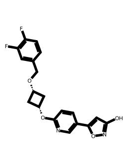 Oc1cc(-c2ccc(O[C@H]3C[C@@H](OCc4ccc(F)c(F)c4)C3)nc2)on1